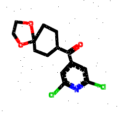 O=C(c1cc(Cl)nc(Cl)c1)C1CCC2(CC1)OCCO2